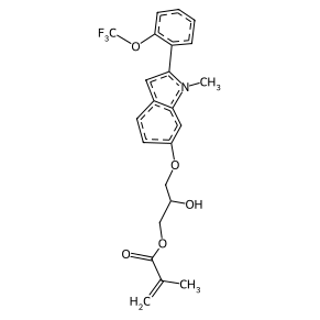 C=C(C)C(=O)OCC(O)COc1ccc2cc(-c3ccccc3OC(F)(F)F)n(C)c2c1